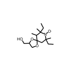 CCC1(C)CC2(OCC(CO)O2)C(C)C(C)(CC)N1[O]